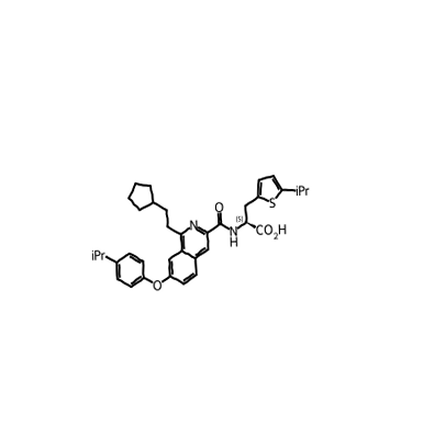 CC(C)c1ccc(Oc2ccc3cc(C(=O)N[C@@H](Cc4ccc(C(C)C)s4)C(=O)O)nc(CCC4CCCC4)c3c2)cc1